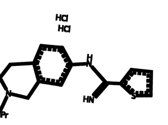 CCCN1CCc2ccc(NC(=N)c3cccs3)cc2C1.Cl.Cl